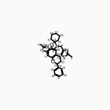 Cc1nc(CN(Cc2csc(C)n2)C2(Oc3ccc4c(c3)CCC(c3ccccc3)O4)CCCCC2)cs1